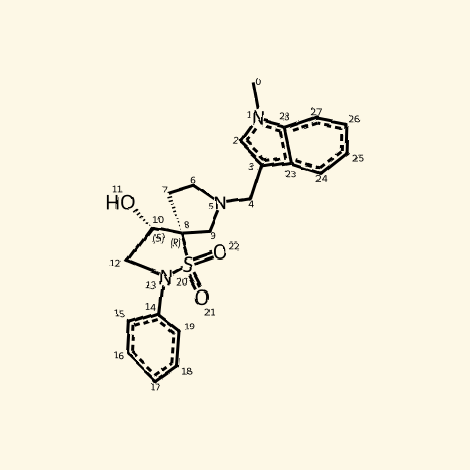 Cn1cc(CN2CC[C@@]3(C2)[C@@H](O)CN(c2ccccc2)S3(=O)=O)c2ccccc21